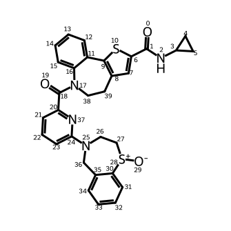 O=C(NC1CC1)c1cc2c(s1)-c1ccccc1N(C(=O)c1cccc(N3CC[S+]([O-])c4ccccc4C3)n1)CC2